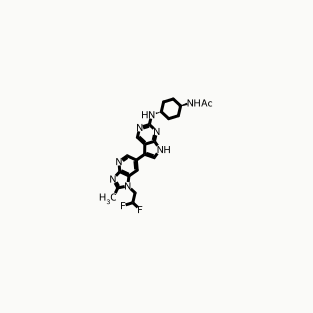 CC(=O)N[C@H]1CC[C@H](Nc2ncc3c(-c4cnc5nc(C)n(CC(F)F)c5c4)c[nH]c3n2)CC1